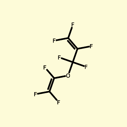 FC(F)=C(F)OC(F)(F)C(F)=C(F)F